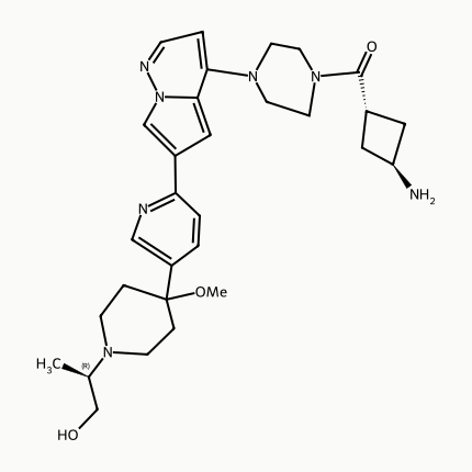 COC1(c2ccc(-c3cc4c(N5CCN(C(=O)[C@H]6C[C@H](N)C6)CC5)ccnn4c3)nc2)CCN([C@H](C)CO)CC1